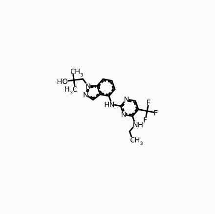 CCNc1nc(Nc2cccc3c2cnn3CC(C)(C)O)ncc1C(F)(F)F